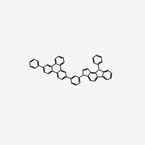 c1ccc(-c2ccc3c4ccc(-c5cccc(-n6ccc7c6ccc6c8ccccc8n(-c8ccccc8)c67)c5)cc4c4ccccc4c3c2)cc1